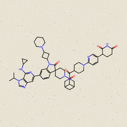 CC(C)n1cnc2cc(-c3ccc4c(c3)N(C3CC(N5CCCCC5)C3)C(=O)C43CCN(C(=O)C4C5CC4CN(C(=O)C4CCN(c6ccc(C7CCC(=O)NC7=O)cn6)CC4)C5)CC3)nc(NC3CC3)c21